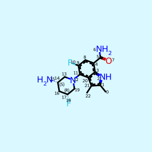 Cc1[nH]c2c(C(N)=O)cc(F)c(N3C[C@@H](N)C[C@@H](F)C3)c2c1C